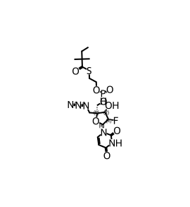 CCC(C)(C)C(=O)SCCO[PH](=O)OC[C@@]1(CN=[N+]=[N-])O[C@@H](n2ccc(=O)[nH]c2=O)[C@H](F)[C@@H]1O